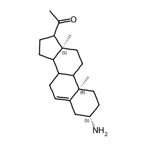 CC(=O)C1CCC2C3CC=C4C[C@@H](N)CC[C@]4(C)C3CC[C@]12C